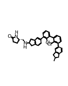 CC1Cc2ccc(-c3cccc(-c4cccc(-c5ccc6c(c5)CC(NC[C@@H]5CCC(=O)N5)C6)c4Cl)c3Cl)cc2C1